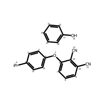 CC(C)c1ccc(Oc2cccc(C#N)c2C#N)cc1.Oc1ccccc1